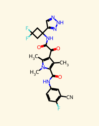 Cc1c(C(=O)C(=O)NC2(c3cn[nH]n3)CC(F)(F)C2)c(C)n(C)c1C(=O)Nc1ccc(F)c(C#N)c1